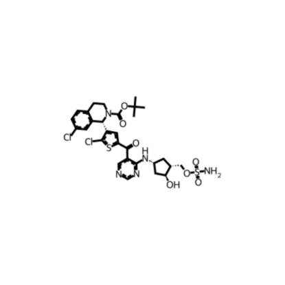 CC(C)(C)OC(=O)N1CCc2ccc(Cl)cc2[C@H]1c1cc(C(=O)c2cncnc2N[C@@H]2C[C@H](COS(N)(=O)=O)[C@@H](O)C2)sc1Cl